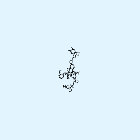 Cc1cc(Cl)c(OCCOc2ccc(C3=C(C(=O)N(Cc4ccccc4F)C4CC4)[C@H]4CN(C(=O)CCC(C)(C)C(=O)O)C[C@@H](C3)N4)cc2)cc1C